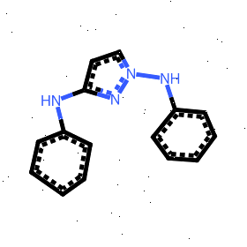 c1ccc(Nc2ccn(Nc3ccccc3)n2)cc1